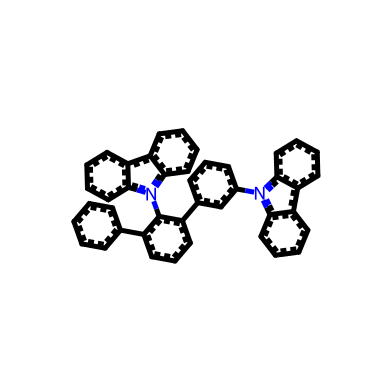 c1ccc(-c2cccc(-c3cccc(-n4c5ccccc5c5ccccc54)c3)c2-n2c3ccccc3c3ccccc32)cc1